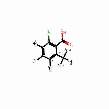 [2H]c1c([2H])c(Cl)c(C(=O)O)c(C([2H])([2H])[2H])c1[2H]